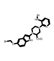 CC(C)Nc1cccnc1N1CCN(c2cc3cc(OCBr)ccc3[nH]2)C(C=O)C1